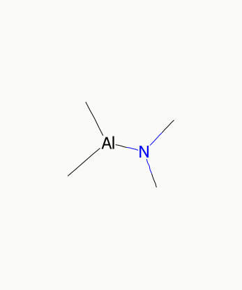 C[N](C)[Al]([CH3])[CH3]